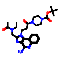 CCN(Cc1nc2c(N)nc3ccccc3c2n1CCC(=O)N1CCN(C(=O)OC(C)(C)C)CC1)C(C)=O